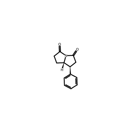 O=C1CC[C@H]2[C@H](c3ccccc3)CC(=O)N12